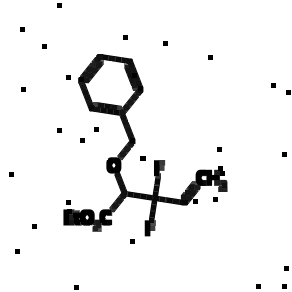 C=CC(F)(F)C(OCc1ccccc1)C(=O)OCC